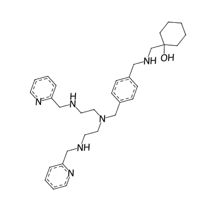 OC1(CNCc2ccc(CN(CCNCc3ccccn3)CCNCc3ccccn3)cc2)CCCCC1